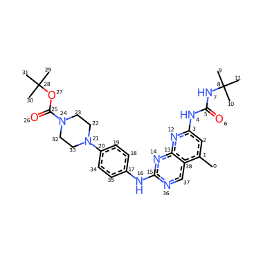 Cc1cc(NC(=O)NC(C)(C)C)nc2nc(Nc3ccc(N4CCN(C(=O)OC(C)(C)C)CC4)cc3)ncc12